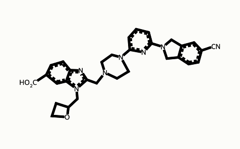 N#Cc1ccc2c(c1)CN(c1cccc(N3CCN(Cc4nc5ccc(C(=O)O)cc5n4CC4CCO4)CC3)n1)C2